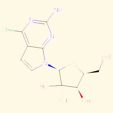 C[C@@]1(O)[C@H](O)[C@H](CO)S[C@@H]1n1ccc2c(Cl)nc(N)nc21